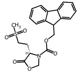 CS(=O)(=O)CC[C@H]1C(=O)OCN1C(=O)OCC1c2ccccc2-c2ccccc21